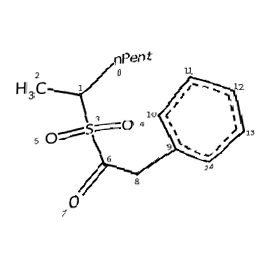 CCCCCC(C)S(=O)(=O)C(=O)Cc1ccccc1